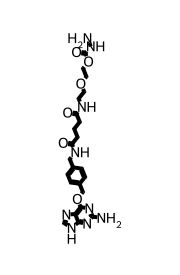 NNC(=O)OCCOCCNC(=O)CCCC(=O)NCc1ccc(COc2nc(N)nc3[nH]cnc23)cc1